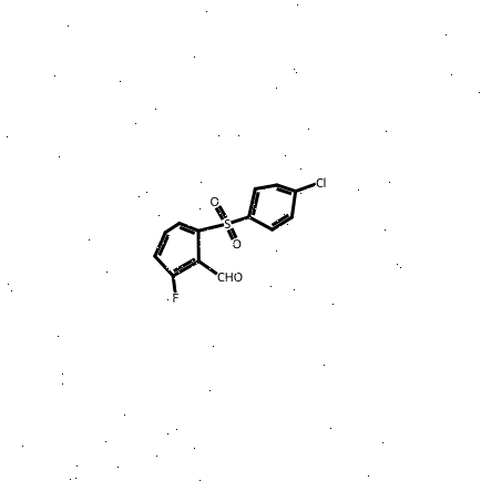 O=Cc1c(F)cccc1S(=O)(=O)c1ccc(Cl)cc1